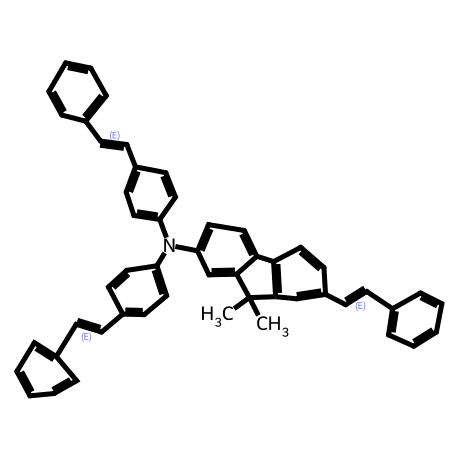 CC1(C)c2cc(/C=C/c3ccccc3)ccc2-c2ccc(N(c3ccc(/C=C/c4ccccc4)cc3)c3ccc(/C=C/c4ccccc4)cc3)cc21